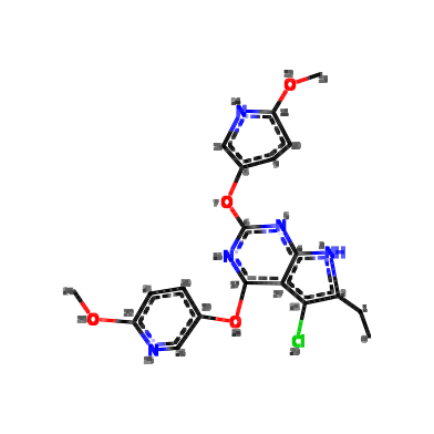 CCc1[nH]c2nc(Oc3ccc(OC)nc3)nc(Oc3ccc(OC)nc3)c2c1Cl